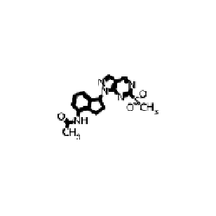 CC(=O)Nc1cccc2c1CCC2n1ncc2cnc(S(C)(=O)=O)nc21